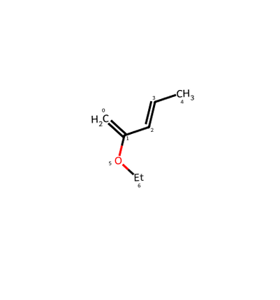 C=C(C=CC)OCC